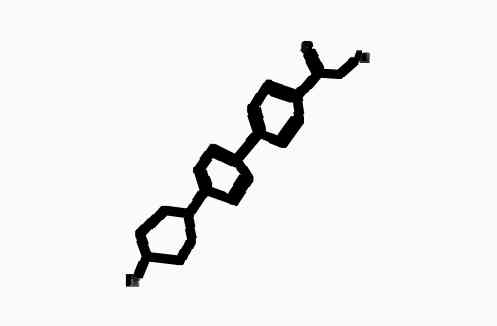 CCC1CCC(c2ccc(-c3ccc(C(=O)CC(C)=O)cc3)cc2)CC1